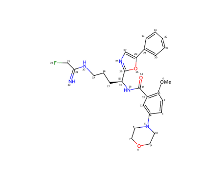 COc1ccc(N2CCOCC2)cc1C(=O)N[C@@H](CCCNC(=N)CF)c1ncc(-c2ccccc2)o1